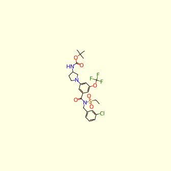 CCS(=O)(=O)N(Cc1cccc(Cl)c1)C(=O)c1cc(OC(F)(F)F)cc(N2CCC(NC(=O)OC(C)(C)C)C2)c1